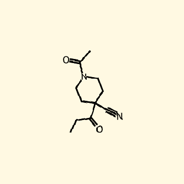 CCC(=O)C1(C#N)CCN(C(C)=O)CC1